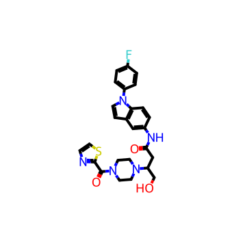 O=C(CC(CO)N1CCN(C(=O)c2nccs2)CC1)Nc1ccc2c(ccn2-c2ccc(F)cc2)c1